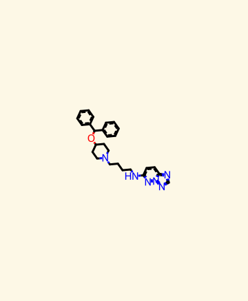 c1ccc(C(OC2CCN(CCCCNc3ccc4ncnn4n3)CC2)c2ccccc2)cc1